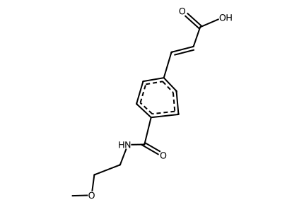 COCCNC(=O)c1ccc(/C=C/C(=O)O)cc1